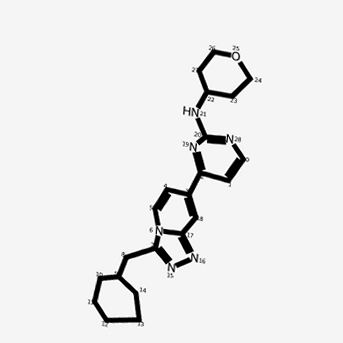 c1cc(-c2ccn3c(CC4CCCCC4)nnc3c2)nc(NC2CCOCC2)n1